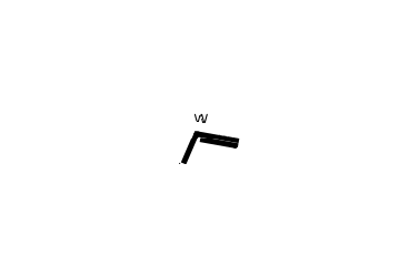 [CH2]C=C.[W]